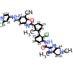 Cc1c(-c2nc3cc(CNc4ccnc(Cl)c4)cc(C#N)c3o2)cccc1-c1cccc(NC(=O)c2nc3c(n2C)CCN(C)C3)c1Cl